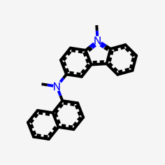 CN(c1ccc2c(c1)c1ccccc1n2C)c1cccc2ccccc12